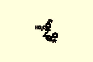 CC(C)N1CCN(C(C)(C)CCC(C)N2CCN(C(C)C)C(c3ccccc3)C2)C(C(=O)O)C1